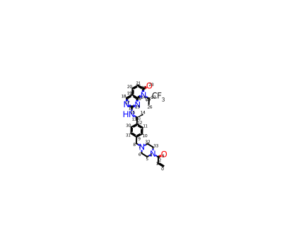 C=CC(=O)N1CCN(Cc2ccc([C@H](C)Nc3ncc4ccc(=O)n([C@@H](C)C(F)(F)F)c4n3)cc2)CC1